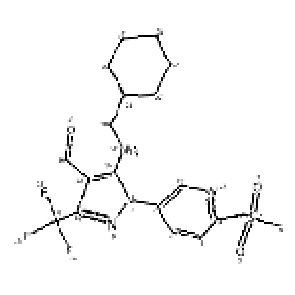 CS(=O)(=O)c1ccc(-n2nc(C(F)(F)F)c(C=O)c2NCC2CCCCC2)cn1